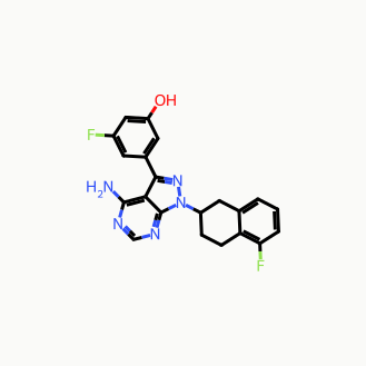 Nc1ncnc2c1c(-c1cc(O)cc(F)c1)nn2C1CCc2c(F)cccc2C1